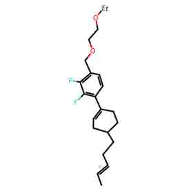 C/C=C/CCC1CC=C(c2ccc(COCCOCC)c(F)c2F)CC1